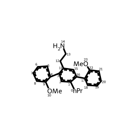 CCCc1cc(-c2ccccc2OC)c(CCN)cc1-c1ccccc1OC